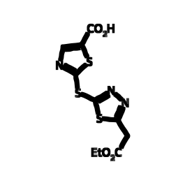 CCOC(=O)Cc1nnc(Sc2ncc(C(=O)O)s2)s1